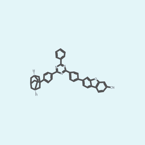 N#Cc1ccc2c(c1)oc1cc(-c3ccc(-c4nc(-c5ccccc5)nc(-c5ccc(C67CC8C[C@H](C6)C[C@@H](C8)C7)cc5)n4)cc3)ccc12